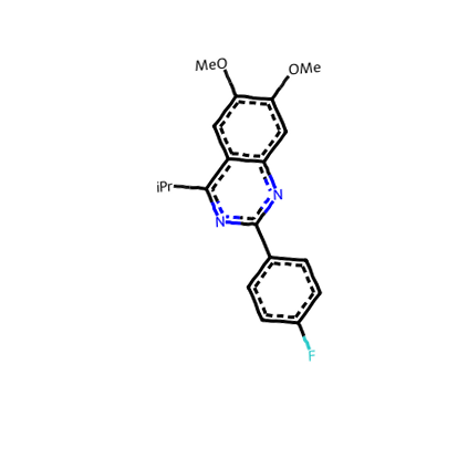 COc1cc2nc(-c3ccc(F)cc3)nc(C(C)C)c2cc1OC